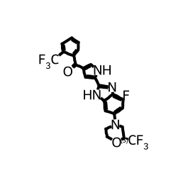 O=C(c1c[nH]c(-c2nc3c(F)cc(N4CCO[C@H](C(F)(F)F)C4)cc3[nH]2)c1)c1ccccc1C(F)(F)F